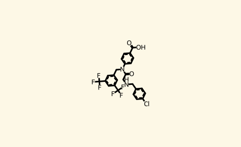 O=C(O)c1ccc(N(Cc2cc(C(F)(F)F)cc(C(F)(F)F)c2)C(=O)CNCc2ccc(Cl)cc2)cc1